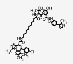 Cc1ncsc1-c1ccc(ONC(=O)[C@@H]2C[C@@H](O)CN2C(=O)[C@@H](NC(=O)CCCCCCCCCCNC(=O)C[C@@H]2N=C(c3ccc(Cl)cc3)c3c(sc(C)c3C)-n3c(C)nnc32)C(C)(C)C)cc1